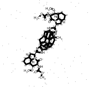 COC(=O)N[C@@H]1C(=O)N2[C@H](c3nc4cc(-c5cc6ccc5CCc5ccc(c(-c7ccc8[nH]c([C@@H]9C[C@@H]%10CCCC%11[C@@H](OC)[C@H](NC(=O)OC)C(=O)N9[C@@H]%11%10)nc8c7)c5)C[C@H]6C)ccc4[nH]3)C[C@@H]3CCCC([C@H]1OC)[C@@H]32